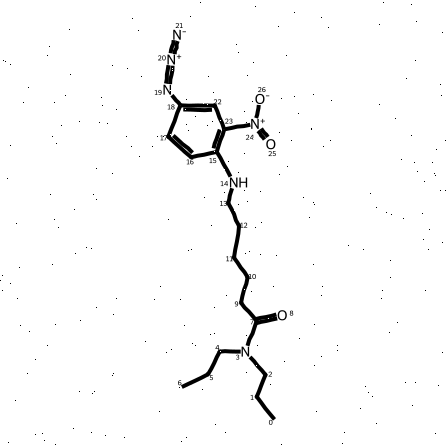 CCCN(CCC)C(=O)CCCCCNc1ccc(N=[N+]=[N-])cc1[N+](=O)[O-]